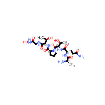 CC(O)[C@H](NC(=O)[C@@H]1CCCN1C(=O)[C@@H](NC(=O)[C@H](CCC(N)=O)NC(=O)[C@H](C)N)C(C)O)C(=O)NCC(=O)NO